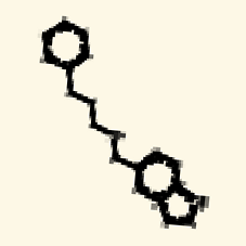 c1ccc(CCCNCc2ccc3[nH]ccc3c2)cc1